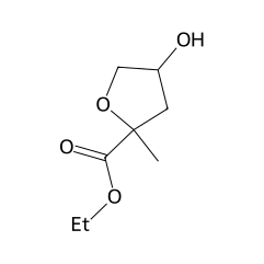 CCOC(=O)C1(C)CC(O)CO1